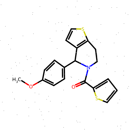 COc1ccc(C2c3ccsc3CCN2C(=O)c2cccs2)cc1